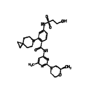 Cc1cc(NC(=O)c2ccc(NS(=O)(=O)CCO)cc2N2CCC3(CC2)CC3)nc(N2CCO[C@H](C)C2)n1